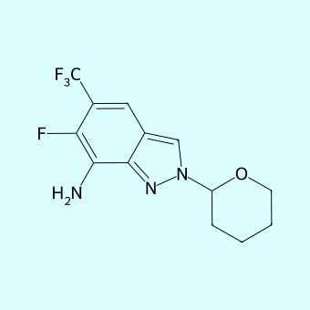 Nc1c(F)c(C(F)(F)F)cc2cn(C3CCCCO3)nc12